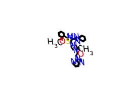 COc1ccccc1-c1nc(-c2nc3ccccc3[nH]2)c(N2CCN(C(=O)Cn3cnc4cccnc43)[C@H](C)C2)s1